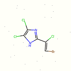 ClC(=CBr)c1nc(Cl)c(Cl)[nH]1